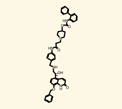 O=C(CCN1CCC(OC(=O)Nc2ccccc2-c2ccccc2)CC1)Nc1ccc(CNC[C@H](O)c2ccc(OCc3ccccc3)c3[nH]c(=O)ccc23)cc1